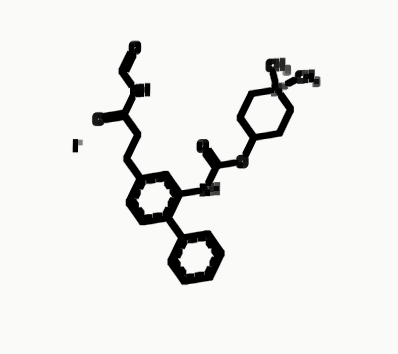 C[N+]1(C)CCC(OC(=O)Nc2cc(CCC(=O)NC=O)ccc2-c2ccccc2)CC1.[I-]